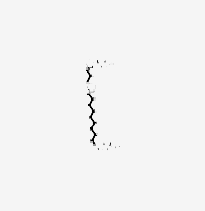 CNCCCCCCCCCOCCCOC